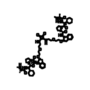 CN[C@@H](C)C(=O)N[C@H](C(=O)N1CCC[C@H]1C(=O)N[C@H]1c2ccccc2C[C@H]1OCCOCCNc1c(NCCOCCO[C@@H]2Cc3ccccc3[C@@H]2NC(=O)[C@@H]2CCCN2C(=O)[C@@H](NC(=O)[C@H](C)NC)C2CCCCC2)c(=O)c1=O)C1CCCCC1